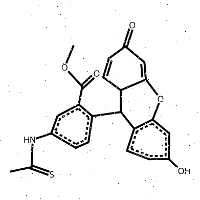 COC(=O)c1cc(NC(C)=S)ccc1C1c2ccc(O)cc2OC2=CC(=O)C=CC21